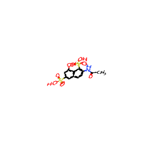 CC(=O)Nc1ccc2cc(S(=O)(=O)O)cc(O)c2c1S(=O)(=O)O